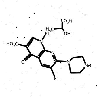 CC(O)C(=O)O.CCn1cc(C(=O)O)c(=O)c2cc(F)c(N3CCNCC3)nc21